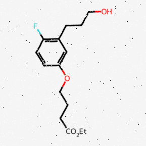 CCOC(=O)CCCOc1ccc(F)c(CCCO)c1